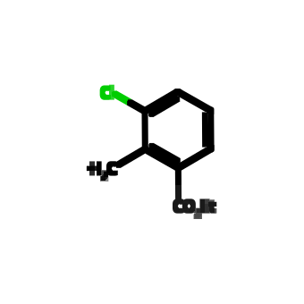 [CH2]c1c(Cl)cccc1C(=O)OCC